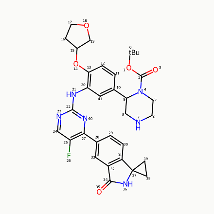 CC(C)(C)OC(=O)N1CCNCC1c1ccc(OC2CCOC2)c(Nc2ncc(F)c(-c3ccc4c(c3)C(=O)NC43CC3)n2)c1